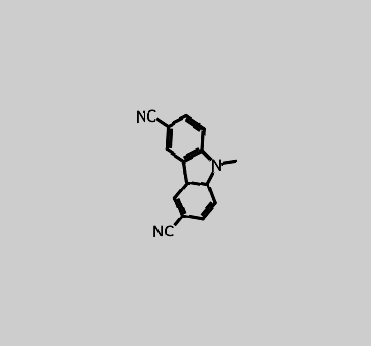 CN1c2ccc(C#N)cc2C2C=C(C#N)C=CC21